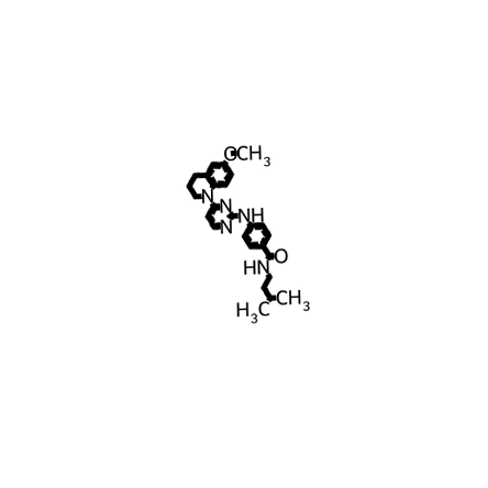 COc1ccc2c(c1)CCCN2c1ccnc(Nc2ccc(C(=O)NCCC(C)C)cc2)n1